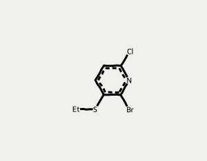 CCSc1ccc(Cl)nc1Br